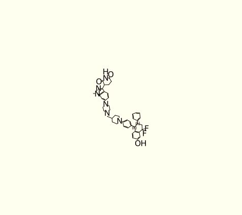 Cn1nc(C2CCC(=O)NC2=O)c2ccc(N3CCN(CC4CCN(c5ccc([C@@H]6c7ccc(O)cc7C(F)(F)C[C@@H]6c6ccccc6)cc5)CC4)CC3)cc21